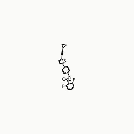 O=C(Nc1ccc(-c2ccc(C#CC3CC3)s2)cc1)c1c(F)cccc1F